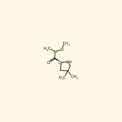 CON(C)C(=O)[C@@H]1CC(C)(C)CN1